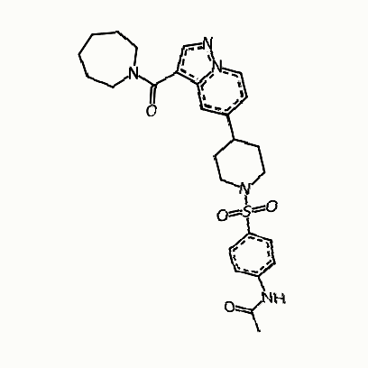 CC(=O)Nc1ccc(S(=O)(=O)N2CCC(c3ccn4ncc(C(=O)N5CCCCCC5)c4c3)CC2)cc1